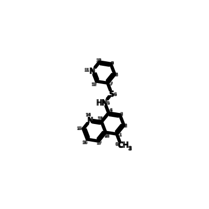 Cc1ccc(NSc2cccnc2)c2ncccc12